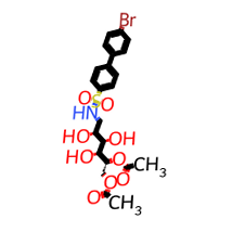 CC(=O)OC[C@@H](OC(C)=O)[C@@H](O)[C@H](O)[C@@H](O)CNS(=O)(=O)c1ccc(-c2ccc(Br)cc2)cc1